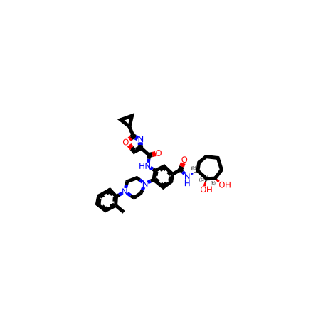 Cc1ccccc1N1CCN(c2ccc(C(=O)N[C@@H]3CCCC[C@@H](O)[C@H]3O)cc2NC(=O)c2coc(C3CC3)n2)CC1